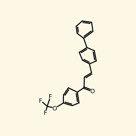 O=C(C=Cc1ccc(-c2ccccc2)cc1)c1ccc(OC(F)(F)F)cc1